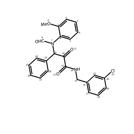 COc1ccccc1N(C=O)C(C(=O)C(=O)NCc1cccc(Cl)c1)c1ccccc1